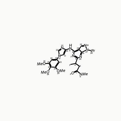 CNC(=O)CC(C)c1nc(Nc2cn(-c3cc(OC)c(OC)c(OC)c3)cn2)c2cnn(C(C)C)c2n1